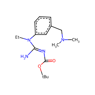 CCN(C(N)=NC(=O)OC(C)(C)C)c1cccc(CN(C)C)c1